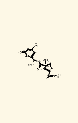 CCC[C@@H](NC(=O)[C@]1(N)CSC(/C(C)=N\O)=N1)c1cc(O)cc(=O)[nH]1